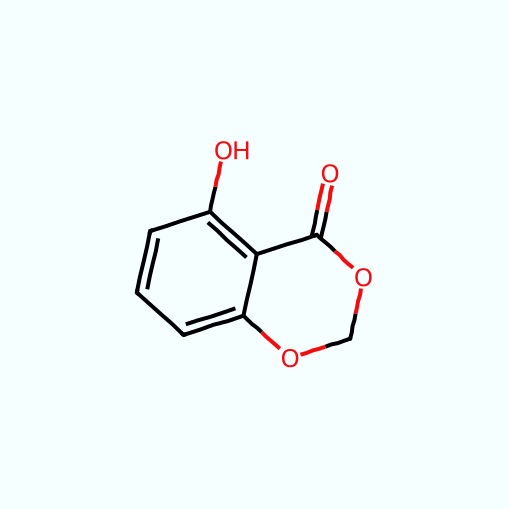 O=C1OCOc2cccc(O)c21